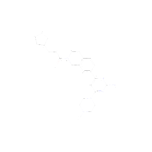 CN1CCN(C2=NC(N)NC(c3ccc4c(c3)CN(C(=O)CCC3CCCC3)CC4)=C2)CC1